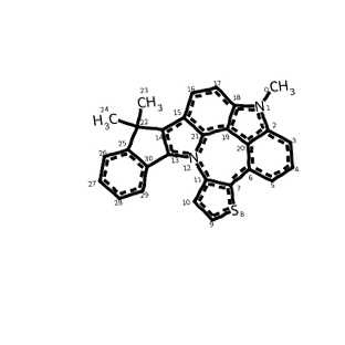 Cn1c2cccc3c4sccc4n4c5c(c6ccc1c(c32)c64)C(C)(C)c1ccccc1-5